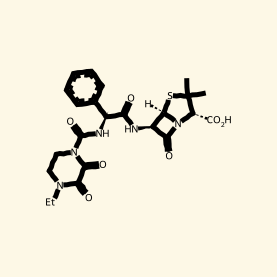 CCN1CCN(C(=O)N[C@H](C(=O)N[C@@H]2C(=O)N3[C@@H]2SC(C)(C)[C@@H]3C(=O)O)c2ccccc2)C(=O)C1=O